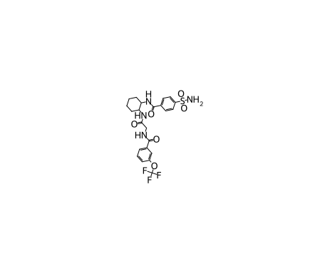 NS(=O)(=O)c1ccc(C(=O)NC2CCCCC2NC(=O)CNC(=O)c2cccc(OC(F)(F)F)c2)cc1